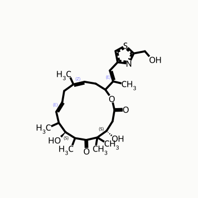 C/C1=C/CC(/C(C)=C/c2csc(CO)n2)OC(=O)C[C@H](O)C(C)(C)C(=O)C(C)[C@@H](O)C(C)/C=C/C1